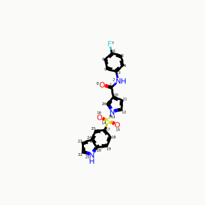 O=C(Nc1ccc(F)cc1)c1ccn(S(=O)(=O)c2ccc3[nH]ccc3c2)c1